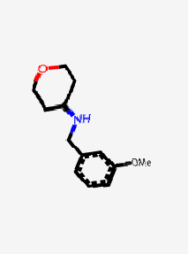 COc1cccc(CNC2CCOCC2)c1